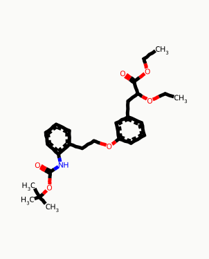 CCOC(=O)C(Cc1cccc(OCCc2ccccc2NC(=O)OC(C)(C)C)c1)OCC